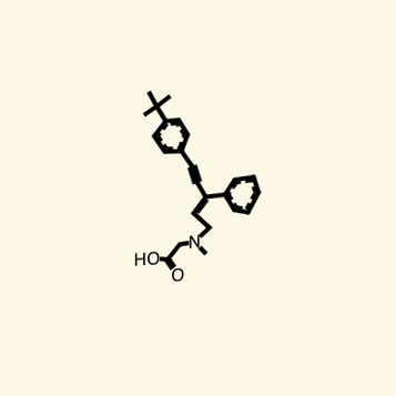 CN(C/C=C(/C#Cc1ccc(C(C)(C)C)cc1)c1ccccc1)CC(=O)O